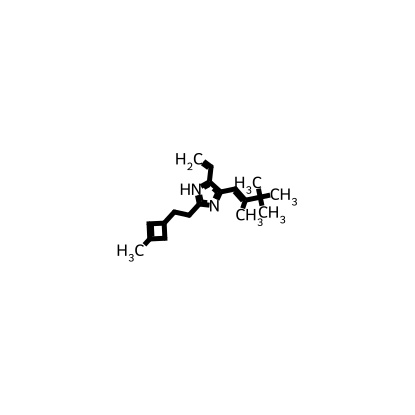 C=Cc1[nH]c(CCC2C=C(C)C2)nc1/C=C(\C)C(C)(C)C